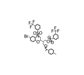 Cc1ccc(SOCC(COS(=O)(=O)c2cccc(C(F)(F)F)c2)C2CN(S(=O)(=O)c3cccc(C(F)(F)F)c3)c3cc(Br)ccc3O2)cc1